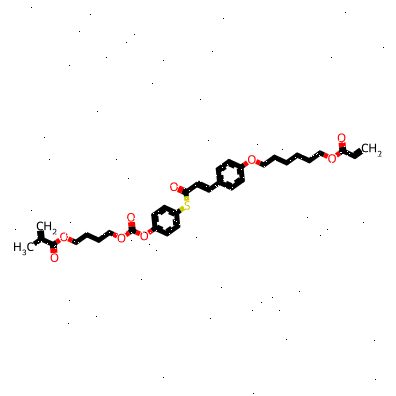 C=CC(=O)OCCCCCCOc1ccc(/C=C/C(=O)Sc2ccc(OC(=O)OCCCCOC(=O)C(=C)C)cc2)cc1